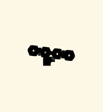 [Br-].[Br-].c1ccc(-[n+]2ccc(-c3cc[n+](-c4ccccc4)cc3)cc2)cc1